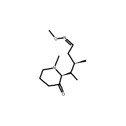 CO/N=C\C[C@@H](C)C(C)[C@H]1C(=O)CCCN1C